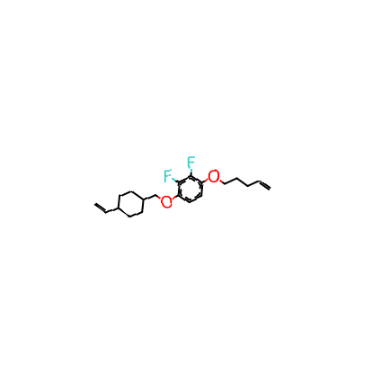 C=CCCCOc1ccc(OCC2CCC(C=C)CC2)c(F)c1F